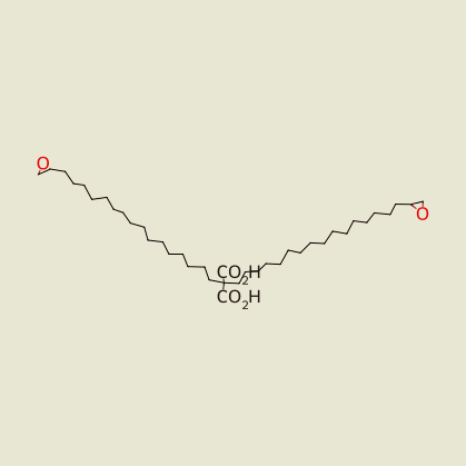 O=C(O)C(CCCCCCCCCCCCCCCCC1CO1)(CCCCCCCCCCCCCCCCC1CO1)C(=O)O